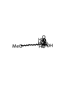 COCCCCCCCCCCCCCCCCCC(=O)[C@@]1(O)[C@H](O)[C@@H](CO)O[C@H]1n1ccc(=O)[nH]c1=O